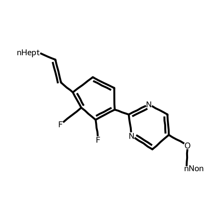 CCCCCCC/C=C/c1ccc(-c2ncc(OCCCCCCCCC)cn2)c(F)c1F